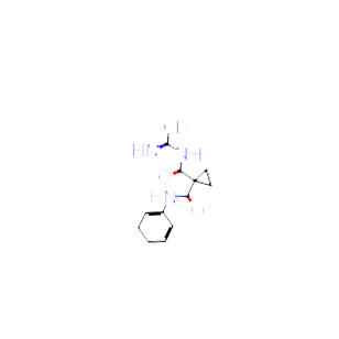 CC(=N)NC(=O)C1(C(=O)NC2=CCCC=C2)CC1